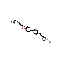 C=CCC[C@H]1CC[C@H]([C@H]2CC[C@H](OC/C=C/CCC)CC2)CC1